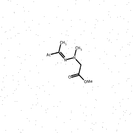 COC(=O)CN(C)N=C(C)C(C)=O